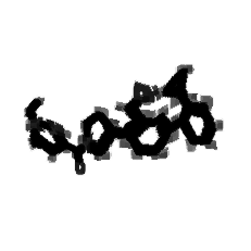 CCn1ccc(C(=O)N2CCC(c3ccc(-c4ccccc4C4CC4)cc3CO)C2)n1